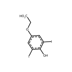 O=C(O)COc1cc(I)c(O)c(I)c1